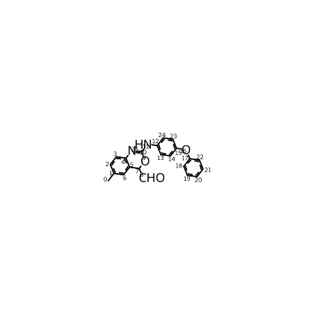 Cc1ccc2c(c1)C(C=O)OC(Nc1ccc(Oc3ccccc3)cc1)=N2